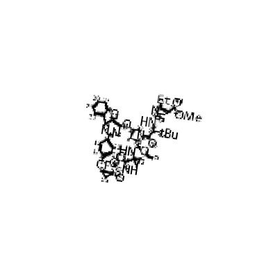 C=C[C@@H]1C[C@]1(NC(=O)[C@@H]1C[C@@H](Oc2nc(-c3ccc(C(F)(F)F)cc3)nc3c2oc2ccccc23)CN1C(=O)[C@@H](Nc1nc(CC)c(C(=O)OC)s1)C(C)(C)C)C(=O)NS(=O)(=O)C1CC1